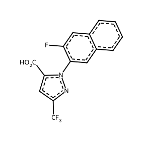 O=C(O)c1cc(C(F)(F)F)nn1-c1cc2ccccc2cc1F